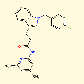 Cc1cc(C)nc(NC(=O)CCc2cn(Cc3ccc(F)cc3)c3ccccc23)c1